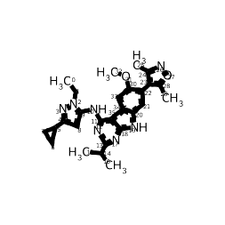 CCn1nc(C2CC2)cc1Nc1nc(C(C)C)nc2[nH]c3cc(-c4c(C)noc4C)c(OC)cc3c12